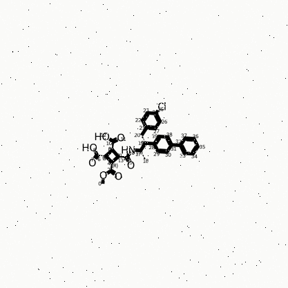 COC(=O)[C@H]1[C@H](C(=O)O)[C@@H](C(=O)O)[C@H]1C(=O)N[C@@H](C)[C@H](Cc1ccc(Cl)cc1)c1ccc(-c2ccccc2)cc1